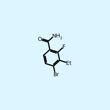 CCc1c(Br)ccc(C(N)=O)c1F